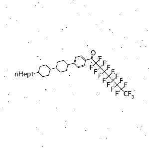 CCCCCCCC1CCC(C2CCC(c3ccc(C(=O)C(F)(F)C(F)(F)C(F)(F)C(F)(F)C(F)(F)C(F)(F)C(F)(F)C(F)(F)F)cc3)CC2)CC1